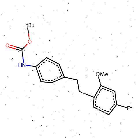 CCc1ccc(CCc2ccc(NC(=O)OC(C)(C)C)cc2)c(OC)c1